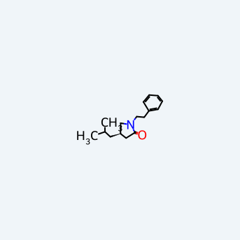 CC(C)C[C@@H]1CC(=O)N(CCc2ccccc2)C1